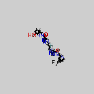 O=C(NCc1cccc(O)c1)c1cn(CCC(F)Cn2cc(C(=O)NCc3cc(C(F)(F)F)ccn3)nn2)nn1